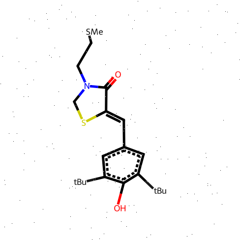 CSCCN1CS/C(=C\c2cc(C(C)(C)C)c(O)c(C(C)(C)C)c2)C1=O